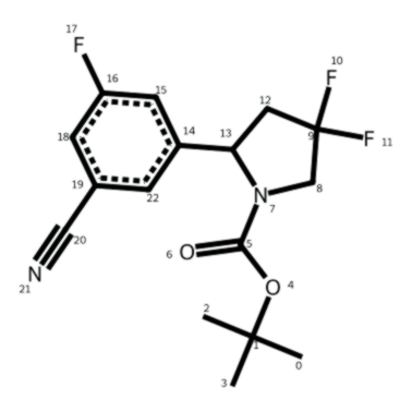 CC(C)(C)OC(=O)N1CC(F)(F)CC1c1cc(F)cc(C#N)c1